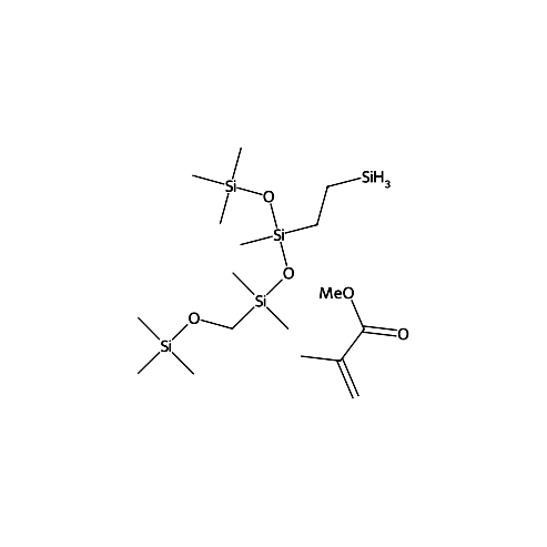 C=C(C)C(=O)OC.C[Si](C)(C)OC[Si](C)(C)O[Si](C)(CC[SiH3])O[Si](C)(C)C